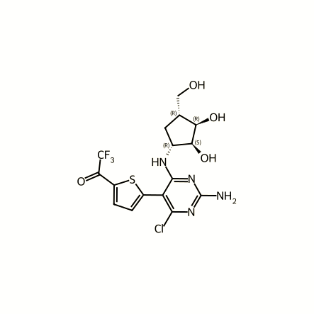 Nc1nc(Cl)c(-c2ccc(C(=O)C(F)(F)F)s2)c(N[C@@H]2C[C@H](CO)[C@@H](O)[C@H]2O)n1